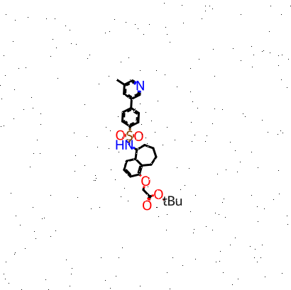 Cc1cncc(-c2ccc(S(=O)(=O)NC3CCCCC4=C(OCC(=O)OC(C)(C)C)C=CCC43)cc2)c1